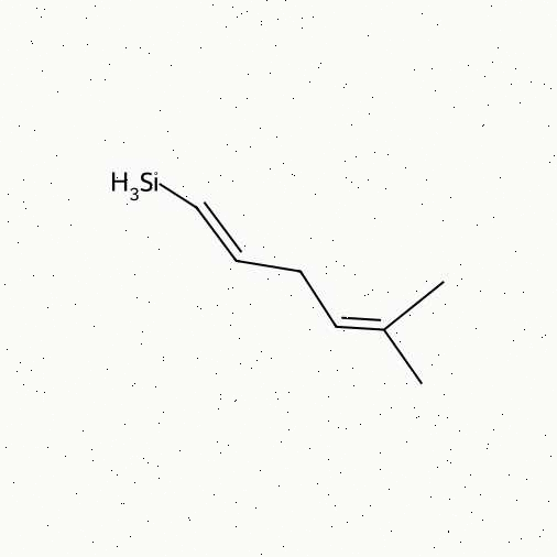 CC(C)=CCC=C[SiH3]